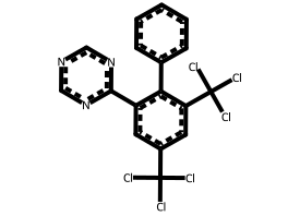 ClC(Cl)(Cl)c1cc(-c2ncncn2)c(-c2ccccc2)c(C(Cl)(Cl)Cl)c1